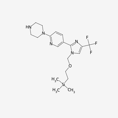 C[Si](C)(C)CCOCn1cc(C(F)(F)F)nc1-c1ccc(N2CCNCC2)nc1